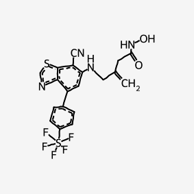 C=C(CNc1cc(-c2ccc(S(F)(F)(F)(F)F)cc2)c2ncsc2c1C#N)CC(=O)NO